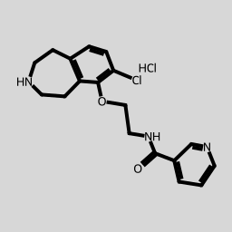 Cl.O=C(NCCOc1c(Cl)ccc2c1CCNCC2)c1cccnc1